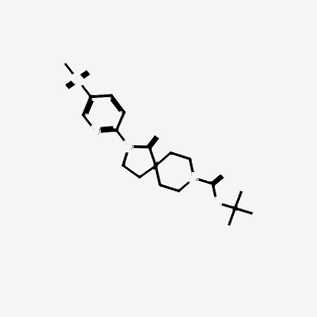 CC(C)(C)OC(=O)N1CCC2(CC1)CCN(c1ccc(S(C)(=O)=O)cn1)C2=O